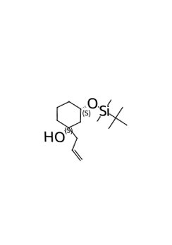 C=CC[C@@]1(O)CCC[C@H](O[Si](C)(C)C(C)(C)C)C1